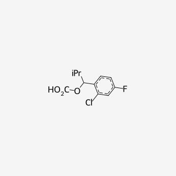 CC(C)C(OC(=O)O)c1ccc(F)cc1Cl